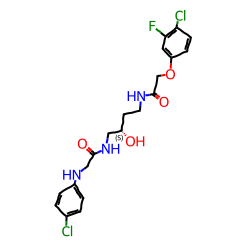 O=C(CNc1ccc(Cl)cc1)NC[C@@H](O)CCNC(=O)COc1ccc(Cl)c(F)c1